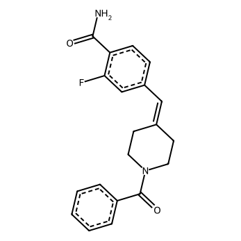 NC(=O)c1ccc(C=C2CCN(C(=O)c3ccccc3)CC2)cc1F